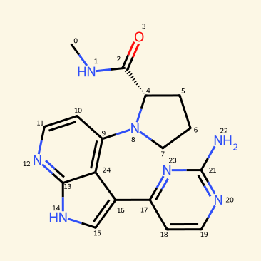 CNC(=O)[C@@H]1CCCN1c1ccnc2[nH]cc(-c3ccnc(N)n3)c12